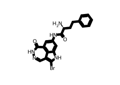 N[C@H](CCc1ccccc1)C(=O)Nc1cc2c3c(c(Br)[nH]c3c1)C=NNC2=O